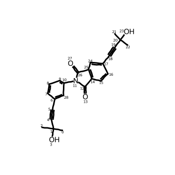 CC(C)(O)C#Cc1cccc(N2C(=O)c3ccc(C#CC(C)(C)O)cc3C2=O)c1